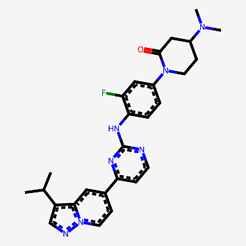 CC(C)c1cnn2ccc(-c3ccnc(Nc4ccc(N5CCC(N(C)C)CC5=O)cc4F)n3)cc12